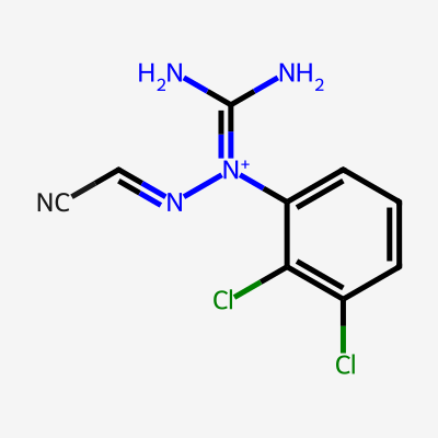 N#CC=N[N+](=C(N)N)c1cccc(Cl)c1Cl